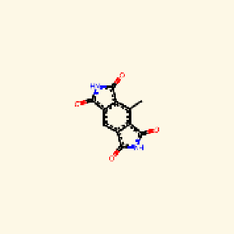 Cc1c2c(=O)[nH]c(=O)c2cc2c(=O)[nH]c(=O)c12